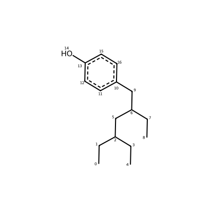 CCC(CC)CC(CC)Cc1ccc(O)cc1